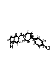 Clc1ccc(C2=CCN(Cc3ccc4[nH]ccc4c3)CC2)cc1